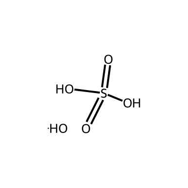 O=S(=O)(O)O.[OH]